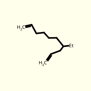 C=CCCCCC(CC)CC=C